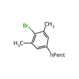 CCCCCc1cc(C)c(Br)c(C)c1